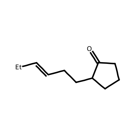 CCC=CCCC1CCCC1=O